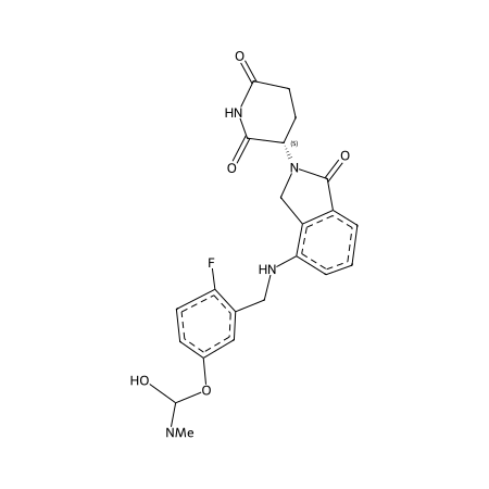 CNC(O)Oc1ccc(F)c(CNc2cccc3c2CN([C@H]2CCC(=O)NC2=O)C3=O)c1